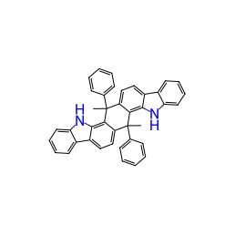 CC1(c2ccccc2)c2ccc3c([nH]c4ccccc43)c2C(C)(c2ccccc2)c2ccc3c([nH]c4ccccc43)c21